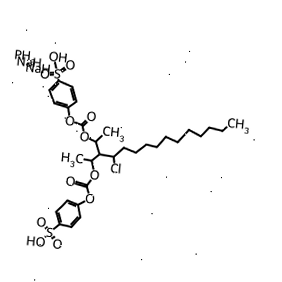 CCCCCCCCCCCC(Cl)C(C(C)OC(=O)Oc1ccc(S(=O)(=O)O)cc1)C(C)OC(=O)Oc1ccc(S(=O)(=O)O)cc1.P.[NaH].[NaH]